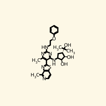 Cc1nc(NCCOc2ccccc2)nc(NC2C[C@H](C(C)(C)O)[C@@H](O)[C@H]2O)c1-c1nc2c(C)nccc2s1